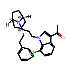 CC(=O)c1cn(CCCN2[C@@H]3CC[C@H]2C[C@@H](CCc2ccccc2)C3)c2c(Cl)cccc12